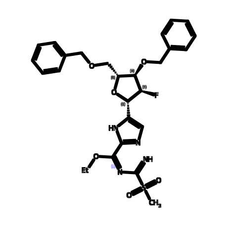 CCO/C(=N/C(=N)S(C)(=O)=O)c1ncc([C@@H]2O[C@H](COCc3ccccc3)[C@@H](OCc3ccccc3)[C@H]2F)[nH]1